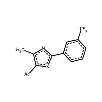 CC(=O)c1sc(-c2cccc(C(F)(F)F)c2)nc1C